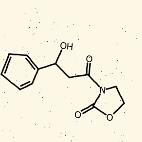 O=C(CC(O)c1ccccc1)N1CCOC1=O